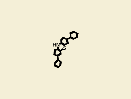 c1ccc(-c2ccc3c(c2)Sc2cc(-c4ccccc4)ccc2N3)cc1